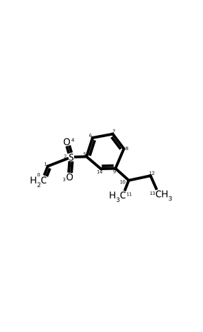 C=CS(=O)(=O)c1cccc(C(C)CC)c1